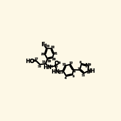 O=C(Nc1ccc(-c2cn[nH]c2)cc1)NC(CCO)c1cccc(F)c1